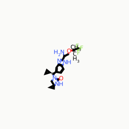 CC(C)(OC[C@H](N)c1nc2cc([C@@H](C3CC3)N3CC4(CC4)NC3=O)ccc2[nH]1)C(F)(F)F